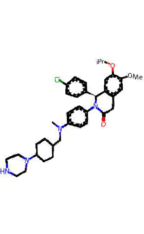 COc1cc2c(cc1OC(C)C)[C@H](c1ccc(Cl)cc1)N(c1ccc(N(C)CC3CCC(N4CCNCC4)CC3)cc1)C(=O)C2